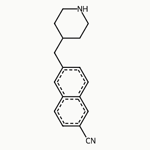 N#Cc1ccc2cc(CC3CCNCC3)ccc2c1